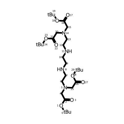 CC(C)(C)OC(=O)CN(CCNCCNCCN(CC(=O)OC(C)(C)C)CC(=O)OC(C)(C)C)CC(=O)OC(C)(C)C